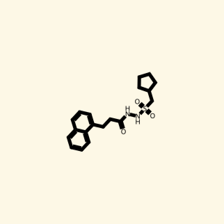 O=C(CCc1cccc2ccccc12)NNS(=O)(=O)CC1CCCC1